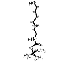 CC(C)(C)OC(=O)NCCNCCCCO